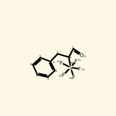 O=CC(Cc1ccccc1)S(F)(F)(F)(F)F